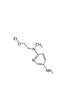 CCOCCN(C)c1ccc(N)cn1